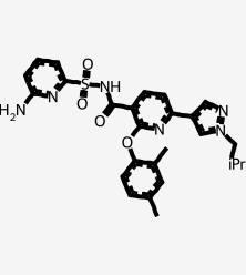 Cc1ccc(Oc2nc(-c3cnn(CC(C)C)c3)ccc2C(=O)NS(=O)(=O)c2cccc(N)n2)c(C)c1